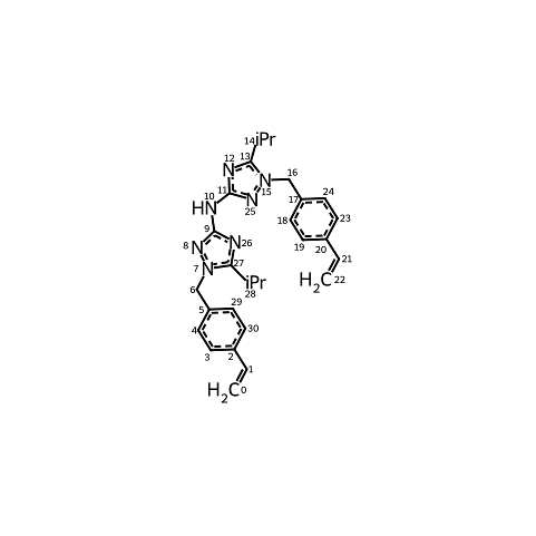 C=Cc1ccc(Cn2nc(Nc3nc(C(C)C)n(Cc4ccc(C=C)cc4)n3)nc2C(C)C)cc1